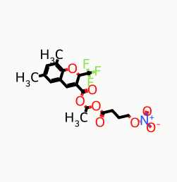 Cc1cc(C)c2c(c1)C=C(C(=O)OC(C)OC(=O)CCCO[N+](=O)[O-])C(C(F)(F)F)O2